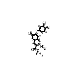 COC(=O)/C(=C/c1cc(Cl)c(Sc2ccc(Cl)c(Cl)c2)cc1F)N=[N+]=[N-]